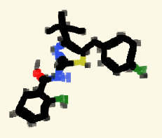 CC(C)(C)c1nc(NC(=O)c2ccccc2Cl)sc1Cc1ccc(Cl)cc1